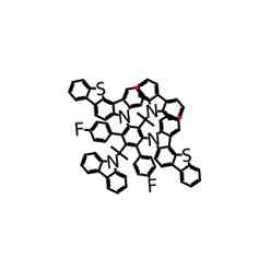 CC(C)(c1c(-c2ccc(F)cc2)c(-n2c3ccccc3c3c4sc5ccccc5c4ccc32)c(C(C)(C)n2c3ccccc3c3ccccc32)c(-n2c3ccccc3c3c4sc5ccccc5c4ccc32)c1-c1ccc(F)cc1)n1c2ccccc2c2ccccc21